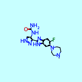 CN1CCCN(c2cc3[nH]c(-c4n[nH]cc4NC(N)=O)nc3cc2F)CC1